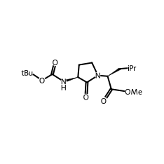 COC(=O)[C@H](CC(C)C)N1CC[C@H](NC(=O)OC(C)(C)C)C1=O